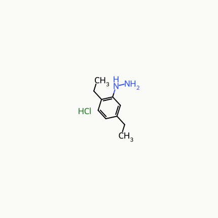 CCc1ccc(CC)c(NN)c1.Cl